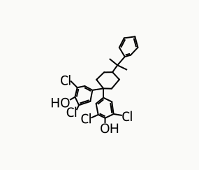 CC(C)(c1ccccc1)C1CCC(c2cc(Cl)c(O)c(Cl)c2)(c2cc(Cl)c(O)c(Cl)c2)CC1